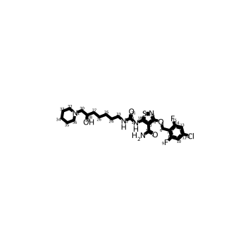 NC(=O)c1c(OCc2c(F)cc(Cl)cc2F)nsc1NC(=O)NCCCCCC(O)CN1CCCCC1